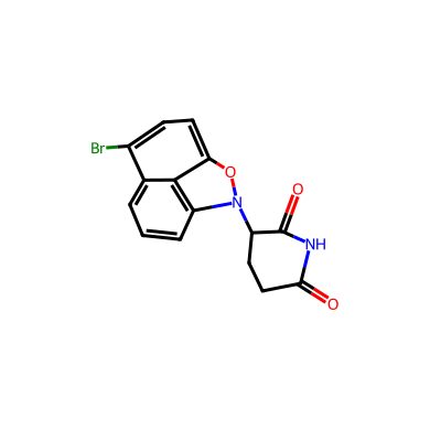 O=C1CCC(N2Oc3ccc(Br)c4cccc2c34)C(=O)N1